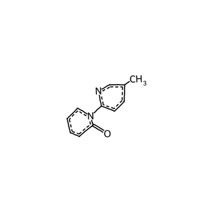 Cc1ccc(-n2ccccc2=O)nc1